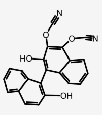 N#COc1c(O)c(-c2c(O)ccc3ccccc23)c2ccccc2c1OC#N